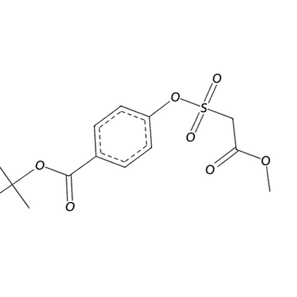 COC(=O)CS(=O)(=O)Oc1ccc(C(=O)OC(C)(C)C)cc1